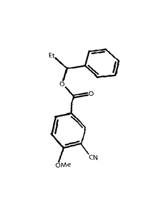 CCC(OC(=O)c1ccc(OC)c(C#N)c1)c1ccccc1